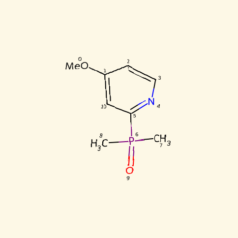 COc1[c]cnc(P(C)(C)=O)c1